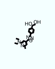 CCN(CC)c1cc(-c2nc(-c3ccc(C(O)CO)cc3)no2)cc(C)n1